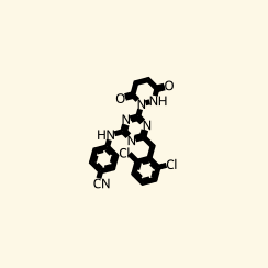 N#Cc1ccc(Nc2nc(Cc3c(Cl)cccc3Cl)nc(N3NC(=O)CCC3=O)n2)cc1